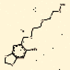 CCCCOCCOCCOCc1cc2c(cc1CCC)OCO2.[Ta]